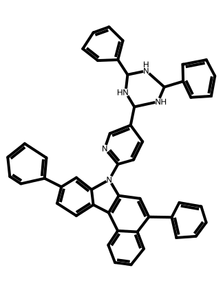 c1ccc(-c2ccc3c4c5ccccc5c(-c5ccccc5)cc4n(-c4ccc(C5NC(c6ccccc6)NC(c6ccccc6)N5)cn4)c3c2)cc1